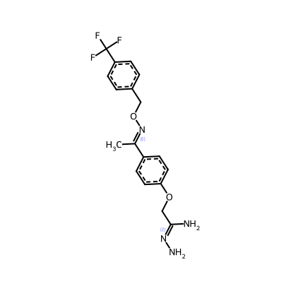 C/C(=N\OCc1ccc(C(F)(F)F)cc1)c1ccc(OC/C(N)=N/N)cc1